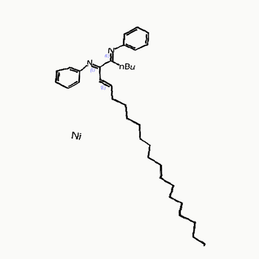 CCCCCCCCCCCCCCCCCCCCCCCCCC/C=C/C(=N\c1ccccc1)C(/CCCC)=N/c1ccccc1.[Ni]